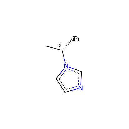 CC(C)[C@@H](C)n1ccnc1